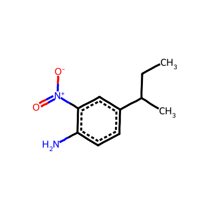 CCC(C)c1ccc(N)c([N+](=O)[O-])c1